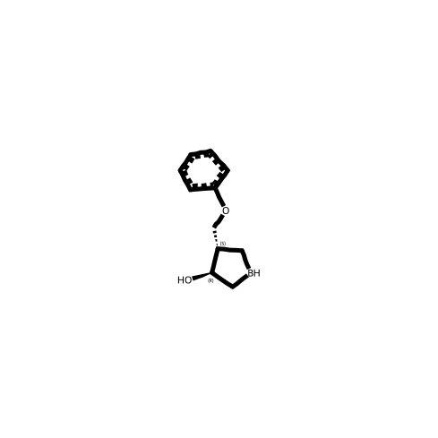 O[C@@H]1CBC[C@H]1COc1ccccc1